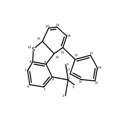 CC(C)(C)c1cccc2c1C1C(c3ccccc3)=CC=CC1S2